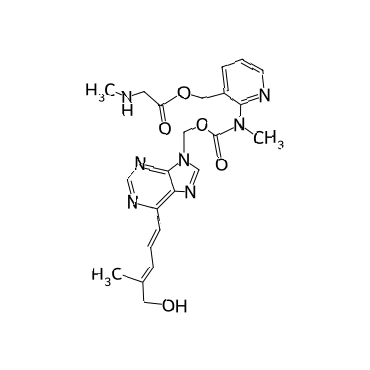 CNCC(=O)OCc1cccnc1N(C)C(=O)OCn1cnc2c(/C=C/C=C(\C)CO)ncnc21